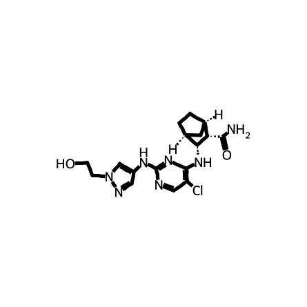 NC(=O)[C@H]1[C@@H]2CC[C@@H](C2)[C@H]1Nc1nc(Nc2cnn(CCO)c2)ncc1Cl